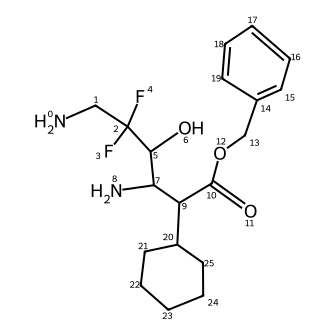 NCC(F)(F)C(O)C(N)C(C(=O)OCc1ccccc1)C1CCCCC1